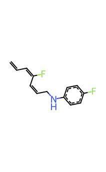 C=C/C=C(F)\C=C/CNc1ccc(F)cc1